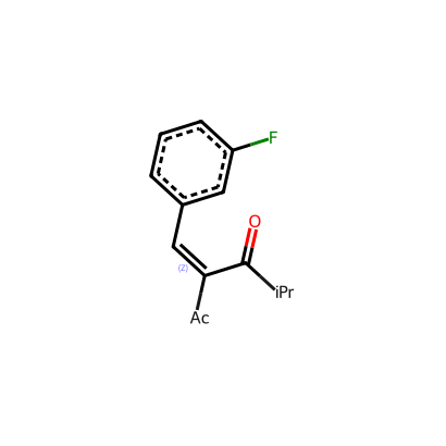 CC(=O)/C(=C/c1cccc(F)c1)C(=O)C(C)C